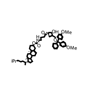 COc1ccc(C(OCC2CN(C(=O)CCCNC(=O)O[C@H]3CC[C@@]4(C)C(=CCC5C4CC[C@@]4(C)C5CC[C@@H]4C(C)CCCC(C)C)C3)CC2O)(c2ccccc2)c2ccc(OC)cc2)cc1